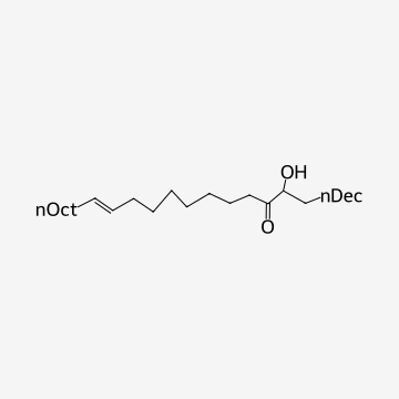 CCCCCCCCC=CCCCCCCCC(=O)C(O)CCCCCCCCCCC